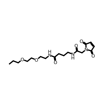 CCCOCCOCCNC(=O)CCCNC(=O)CN1C(=O)C=CC1=O